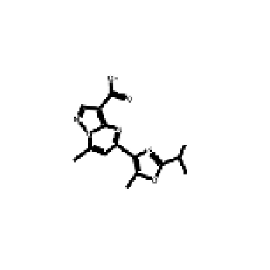 Cc1oc(C(C)C)nc1-c1cc(C)n2ncc(C(=O)O)c2n1